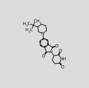 CC(C)(C)C1CCCN(c2ccc3c(c2)C(=O)N(C2CCC(=O)NC2=O)C3=O)C1